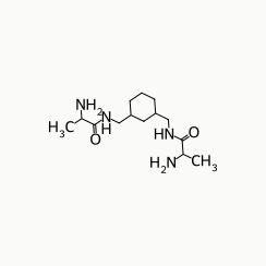 CC(N)C(=O)NCC1CCCC(CNC(=O)C(C)N)C1